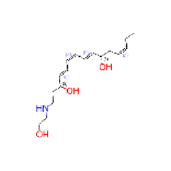 CC/C=C\C[C@H](O)/C=C/C=C\C=C\[C@@H](O)CCNCCO